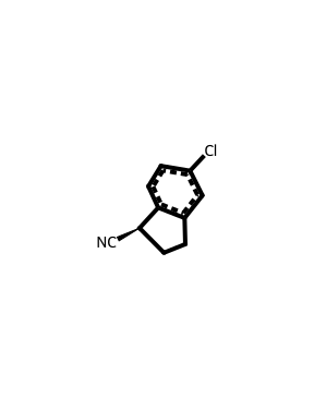 N#C[C@@H]1CCc2cc(Cl)ccc21